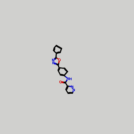 O=C(Nc1ccc(-c2nnc(-c3ccccc3)o2)cc1)c1cccnn1